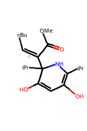 CCCC/C=C(\C(=O)OC)C1(C(C)C)NC(C(C)C)=C(O)C=C1O